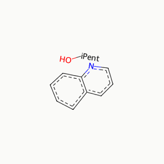 CCCC(C)O.c1ccc2ncccc2c1